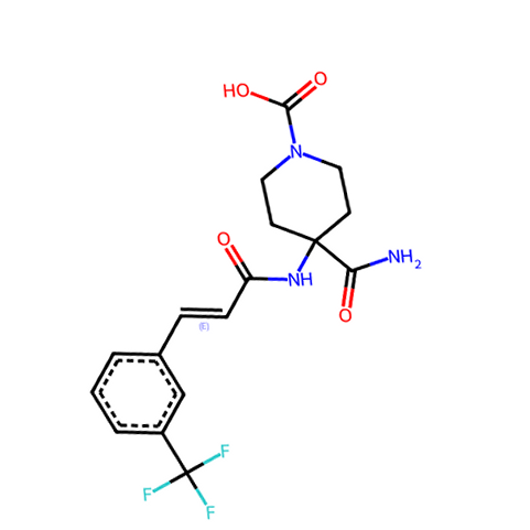 NC(=O)C1(NC(=O)/C=C/c2cccc(C(F)(F)F)c2)CCN(C(=O)O)CC1